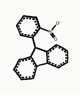 O=[N+]([O-])c1ccccc1C1c2c[c]ccc2-c2ccccc21